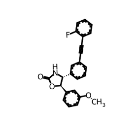 COc1cccc([C@H]2OC(=O)N[C@@H]2c2cccc(C#Cc3ccccc3F)c2)c1